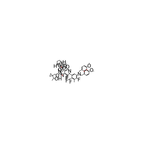 COc1ccc(CN(Cc2ccc(OC)cc2)c2cc(-c3nc4c5c(nc(OCC6(C(C)O)CC6)nc5c3F)N3C[C@H]5CC[C@@H]([C@H]3[C@H](C)O4)N5C(=O)OC(C)(C)C)c(C(F)(F)F)c(C)c2F)cc1